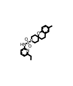 CCc1cccc(NS(=O)(=O)N2CCC3(CCc4cc(C)ccc4O3)CC2)n1